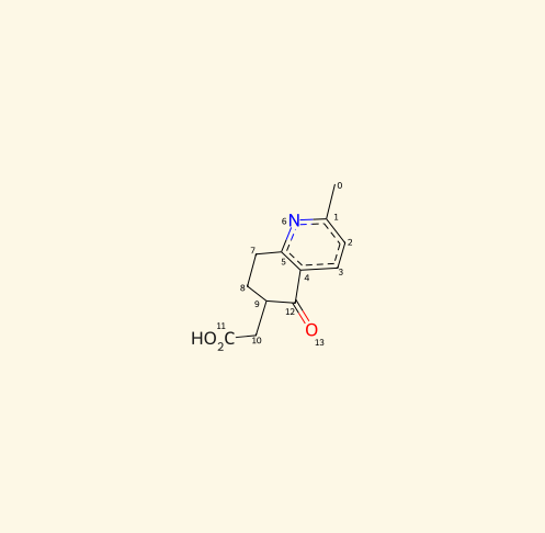 Cc1ccc2c(n1)CCC(CC(=O)O)C2=O